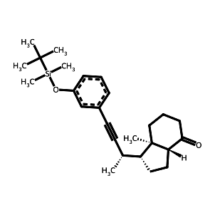 C[C@H](C#Cc1cccc(O[Si](C)(C)C(C)(C)C)c1)[C@H]1CC[C@H]2C(=O)CCC[C@]12C